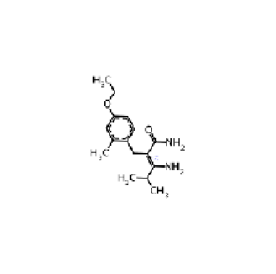 CCOc1ccc(C/C(C(N)=O)=C(/N)C(C)C)c(C)c1